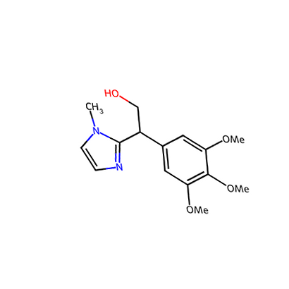 COc1cc(C(CO)c2nccn2C)cc(OC)c1OC